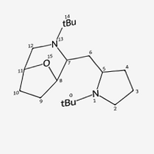 CC(C)(C)N1CCCC1CC1C2CCC(CN1C(C)(C)C)O2